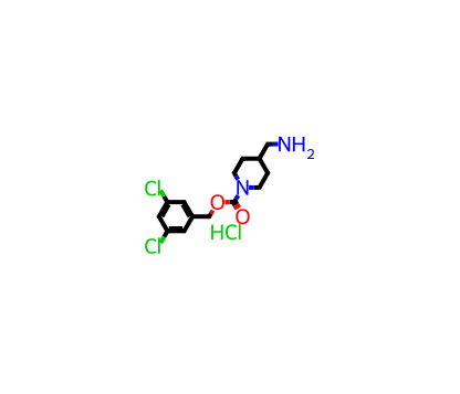 Cl.NCC1CCN(C(=O)OCc2cc(Cl)cc(Cl)c2)CC1